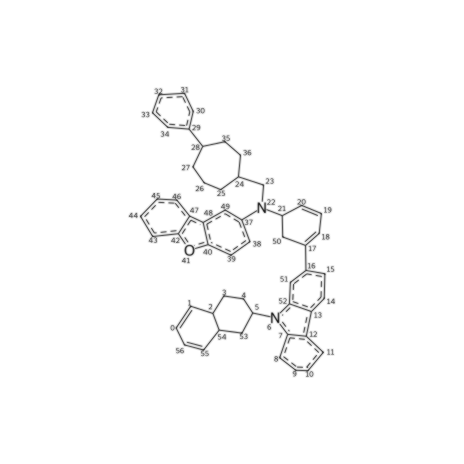 C1=CC2CCC(n3c4ccccc4c4ccc(C5=CC=CC(N(CC6CCCC(c7ccccc7)CC6)c6ccc7oc8ccccc8c7c6)C5)cc43)CC2C=C1